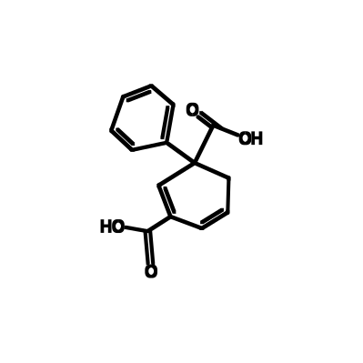 O=C(O)C1=CC(C(=O)O)(c2ccccc2)CC=C1